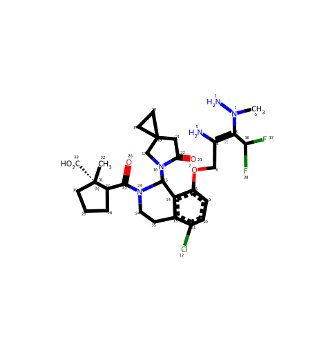 CN(N)/C(=C(\N)COc1ccc(Cl)c2c1C(N1CC3(CC3)CC1=O)N(C(=O)C1CCC[C@]1(C)C(=O)O)CC2)C(F)F